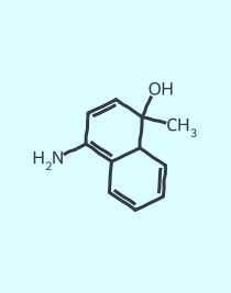 CC1(O)C=CC(N)=C2C=CC=CC21